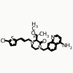 CO[C@H](C)C1C(=O)N(Cc2ccc3c(N)ccnc3c2)CCN1CC=Cc1ccc(Cl)s1